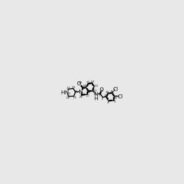 O=C(Cc1ccc(Cl)c(Cl)c1)Nc1cccc2c(=O)n(C3CCNCC3)ccc12